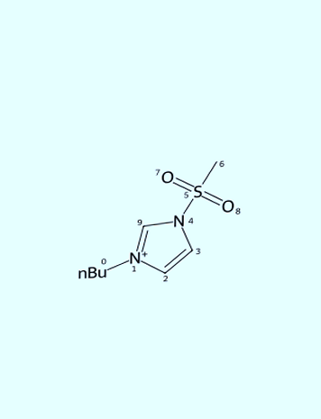 CCCC[n+]1ccn(S(C)(=O)=O)c1